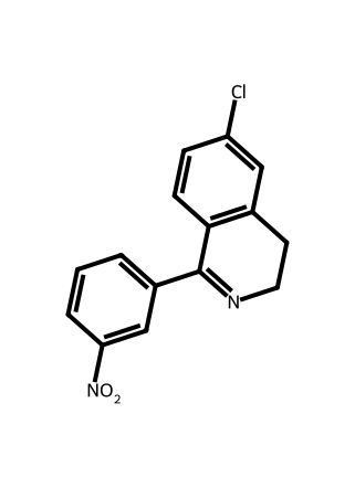 O=[N+]([O-])c1cccc(C2=NCCc3cc(Cl)ccc32)c1